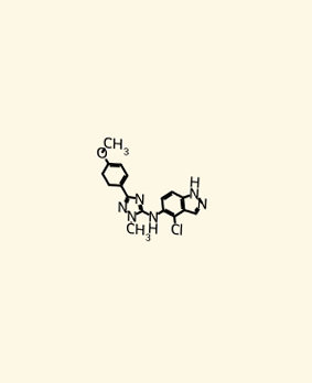 COC1=CC=C(c2nc(Nc3ccc4[nH]ncc4c3Cl)n(C)n2)CC1